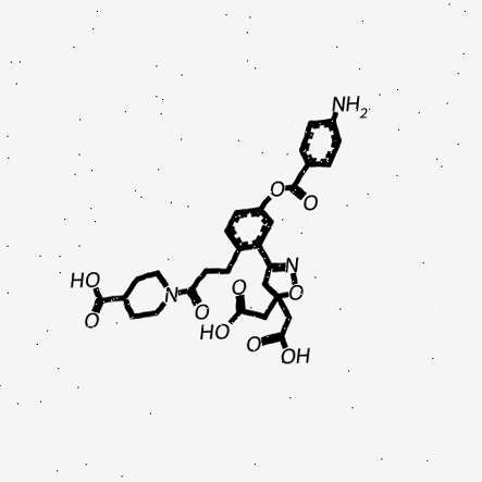 Nc1ccc(C(=O)Oc2ccc(CCC(=O)N3CCC(C(=O)O)CC3)c(C3=NOC(CC(=O)O)(CC(=O)O)C3)c2)cc1